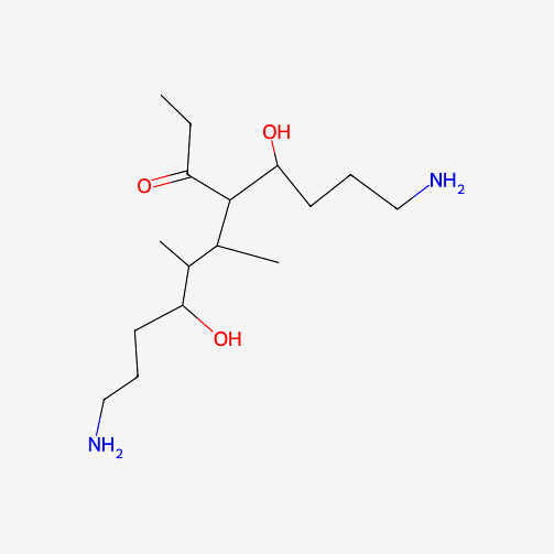 CCC(=O)C(C(O)CCCN)C(C)C(C)C(O)CCCN